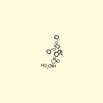 Cn1nc(-c2ccc(OCc3ccccc3)nc2OCc2ccccc2)c2ccc(N3CCC(NC(=O)O)CC3=O)cc21